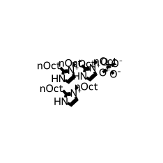 CCCCCCCCc1[nH]cc[n+]1CCCCCCCC.CCCCCCCCc1[nH]cc[n+]1CCCCCCCC.CCCCCCCCc1[nH]cc[n+]1CCCCCCCC.O=P([O-])([O-])[O-]